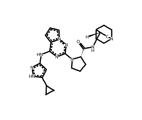 O=C(N[C@H]1CN2CCC1CC2)[C@@H]1CCCN1c1nc(Nc2cc(C3CC3)[nH]n2)c2cccn2n1